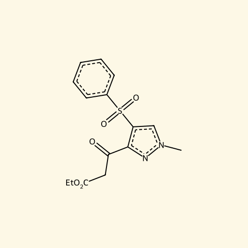 CCOC(=O)CC(=O)c1nn(C)cc1S(=O)(=O)c1ccccc1